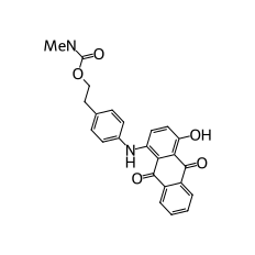 CNC(=O)OCCc1ccc(Nc2ccc(O)c3c2C(=O)c2ccccc2C3=O)cc1